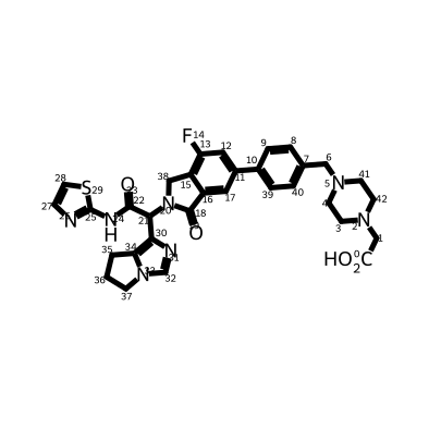 O=C(O)CN1CCN(Cc2ccc(-c3cc(F)c4c(c3)C(=O)N(C(C(=O)Nc3nccs3)c3ncn5c3CCC5)C4)cc2)CC1